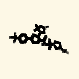 C[C@@H]1CN(c2nc(-c3ccc(C(F)(F)F)cc3)ccc2C(=O)NS(=O)(=O)N2CC[C@@H](N)C2)C(C)(C)C1